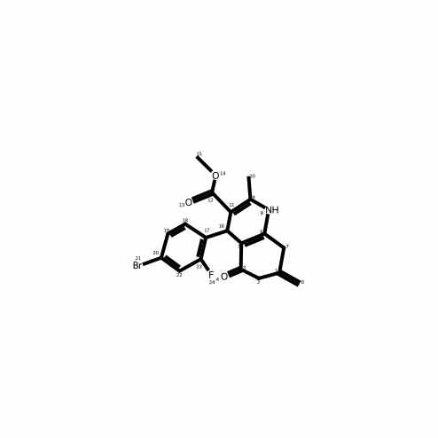 C=C1CC(=O)C2=C(C1)NC(C)=C(C(=O)OC)C2c1ccc(Br)cc1F